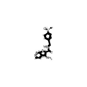 C[S+]([O-])c1ccc(CNC(=O)c2sc3nnccc3c2N)cc1